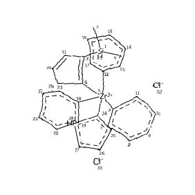 C[SiH](C)C1=[C]([Zr+2]([c]2ccccc2)([c]2ccccc2)([c]2ccccc2)[c]2ccc[pH]2)CC=C1.[Cl-].[Cl-]